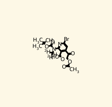 [2H]C([2H])([2H])N(C(=O)OC(C)(C)C)c1nc(Br)cc(C(=O)COC(C)=O)c1C(=O)O